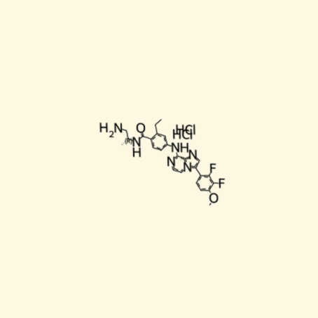 CCc1cc(Nc2nccn3c(-c4ccc(OC)c(F)c4F)cnc23)ccc1C(=O)N[C@H](C)CN.Cl.Cl